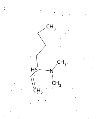 C=C[SiH](CCCC)N(C)C